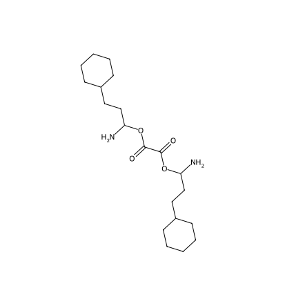 NC(CCC1CCCCC1)OC(=O)C(=O)OC(N)CCC1CCCCC1